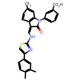 Cc1ccc(-c2csc(N/C=C3\C(=O)N(c4cccc(C(=O)O)c4)c4cc(C(F)(F)F)ccc43)n2)cc1C